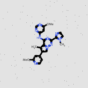 COc1cc(-c2cn3nc(-c4nccn4C)nc(Nc4cc(OC)ncn4)c3c2C)ccn1